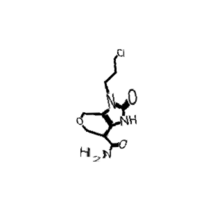 NC(=O)C1COCc2c1[nH]c(=O)n2CCCCl